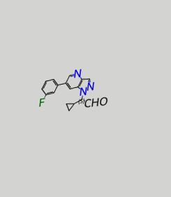 O=C[C@H](C1CC1)n1ncc2ncc(-c3cccc(F)c3)cc21